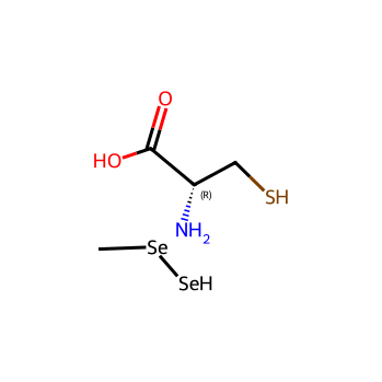 C[Se][SeH].N[C@@H](CS)C(=O)O